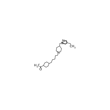 CCc1cnn(CC2CCN(CCCCCC3CCC(C(C)=O)CC3)CC2)c1